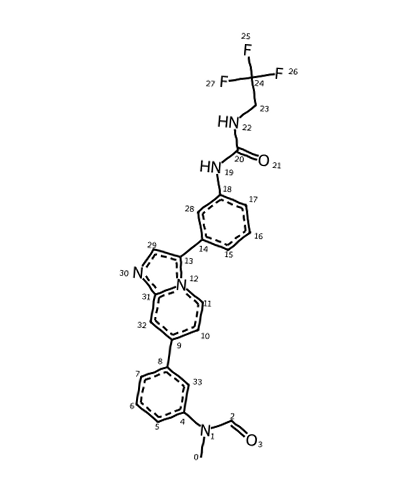 CN(C=O)c1cccc(-c2ccn3c(-c4cccc(NC(=O)NCC(F)(F)F)c4)cnc3c2)c1